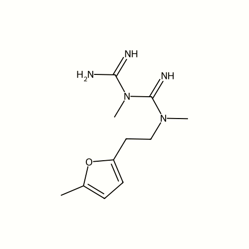 Cc1ccc(CCN(C)C(=N)N(C)C(=N)N)o1